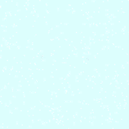 COC(=O)c1cc(Br)c(O)c2ncccc12